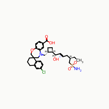 CC[C@H](C/C=C/[C@H](O)[C@@H]1CC[C@H]1CN1CC2(CCCc3cc(Cl)ccc32)COc2ccc(C(=O)O)cc21)CS(N)(=O)=O